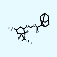 CC1CC(OCOC(=O)C2C3CC4CC(C3)CC2C4)C(F)(F)C(F)(C(C)(F)F)C1